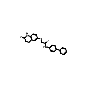 O=C(COc1ccc2c(c1)CCC(=O)N2)Nc1ccc(-c2ccccc2)cc1